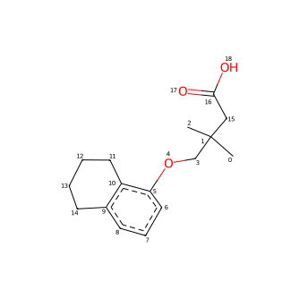 CC(C)(COc1cccc2c1CCCC2)CC(=O)O